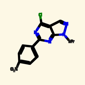 CCCn1ncc2c(Cl)nc(-c3ccc([N+](=O)[O-])cc3)nc21